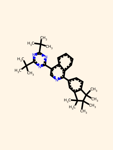 CC(C)(C)c1nc(-c2cnc(-c3ccc4c(c3)C(C)(C)C(C)(C)C4(C)C)c3ccccc23)nc(C(C)(C)C)n1